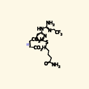 NC(=O)CCCCSc1cccc(NC(N)=NCC(F)(F)F)n1.O=C(O)/C=C\C(=O)O